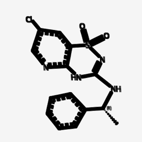 C[C@@H](NC1=NS(=O)(=O)c2cc(Cl)cnc2N1)c1ccccc1